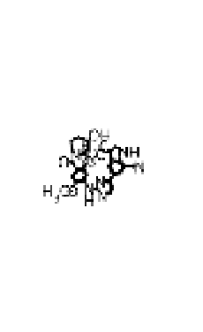 COc1cc(C(=O)N2CCCC(O)CC2)c(Cl)cc1Nc1nccc(-c2cc(C#N)c3c(c2)C(C)(C)CN3)n1